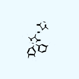 CC1=NNC(=O)C1N=NC1C(=O)[N+](c2cccc(C(=O)O)c2)(c2ccc(C)c(C)c2)N=C1C